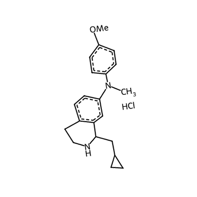 COc1ccc(N(C)c2ccc3c(c2)C(CC2CC2)NCC3)cc1.Cl